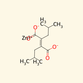 CC(C)CC(C(=O)[O-])=C(CC(C)C)C(=O)[O-].[Zn+2]